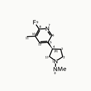 CNN1CC[C@H](c2cnc(F)c(C)c2)C1